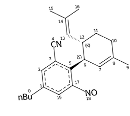 CCCCc1cc(C#N)c([C@@H]2C=C(C)CC[C@H]2C=C(C)C)c(N=O)c1